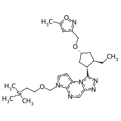 CC[C@@H]1C[C@@H](OCc2cc(C)on2)C[C@@H]1c1nnc2cnc3c(ccn3COCC[Si](C)(C)C)n12